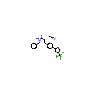 CC#N.CC(CCc1ccc(C2CCC(C(F)(F)F)C2)cc1)N(C)Cc1ccccc1